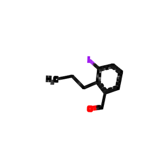 CCCc1c(I)cccc1C=O